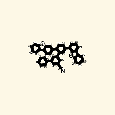 N#Cc1cc(-c2ccccc2)cc(-c2cc(-c3cccc4c3oc3ccccc34)ccc2-c2ccc3c(c2)oc2ccccc23)c1